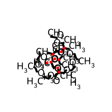 C=CC(=O)OCC(C)OCC(C)OCC(C)OCC(C)OCC(C)OCC(C)OCC(C)OCC(C)OCC(C)OCC(C)OCC(C)OCC(C)OCC(C)OCC(C)OC(=O)C=C